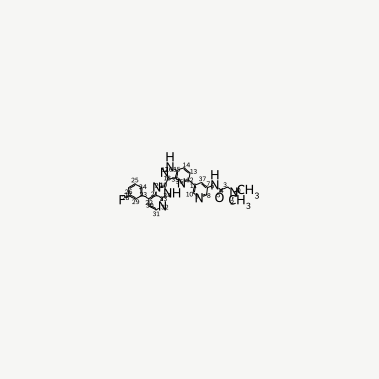 CN(C)CC(=O)Nc1cncc(-c2ccc3[nH]nc(-c4nc5c(-c6cccc(F)c6)ccnc5[nH]4)c3n2)c1